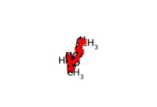 Cc1ncoc1COc1ccc2c(c1)CCN(CC(O)CNC(=O)c1cc(NC3COC3)nc(N3CCN(C)CC3)n1)C2